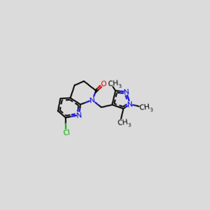 Cc1nn(C)c(C)c1CN1C(=O)CCc2ccc(Cl)nc21